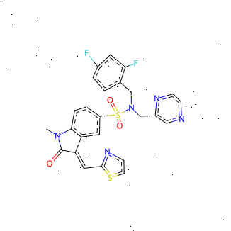 CN1C(=O)/C(=C/c2nccs2)c2cc(S(=O)(=O)N(Cc3cnccn3)Cc3ccc(F)cc3F)ccc21